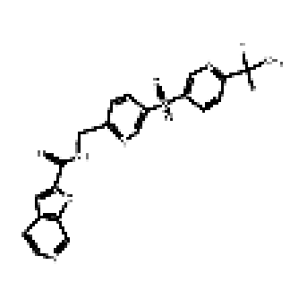 CC(F)(F)c1ccc(S(=O)(=O)c2ccc(CNC(=O)c3cc4ccncc4o3)nc2)cn1